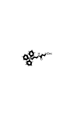 CCCCCCCCCCCCC(=O)NCCC[PH](c1ccccc1)(c1ccccc1)c1ccccc1